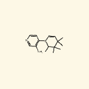 CC1B(c2ccncc2N)C=CC(C)(C)C1(C)C